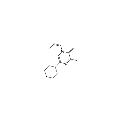 C=C1C(C)=NC(C2CCCCC2)=CN1/C=C\C